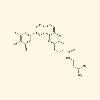 CC(=O)c1cnc2ccc(-c3cc(F)c(O)c(Cl)c3)cc2c1N[C@H]1CC[C@H](C(=O)NCCN(C)C)CC1